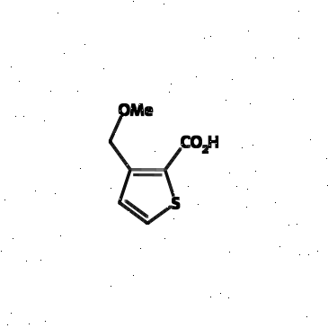 COCc1ccsc1C(=O)O